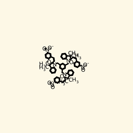 CC1(C)c2ccccc2N(Cc2cc(CN3c4ccccc4C(C)(C)C34C=Cc3cc([N+](=O)[O-])ccc3O4)cc(CN3c4ccccc4C(C)(C)C34C=Cc3cc([N+](=O)[O-])ccc3O4)c2)C12C=Cc1cc([N+](=O)[O-])ccc1O2